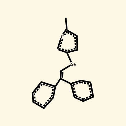 Cc1ccc([Se]C=C(c2ccccc2)c2ccccc2)cc1